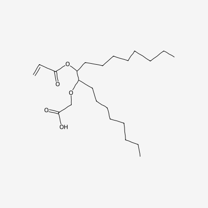 C=CC(=O)OC(CCCCCCCC)C(CCCCCCCC)OCC(=O)O